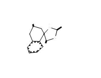 O=C1Cc2ccccc2C2(C1)NC(=O)NC2=O